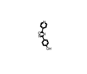 Oc1ccc(-c2noc(-c3ccncc3)n2)cc1